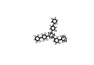 c1ccc(-c2ccc(-c3nc(-c4ccc(-c5ccccc5)cc4)nc(-c4cccc(-c5cncnc5)c4)n3)cc2)cc1